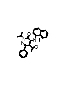 CC(=O)c1c(-c2ccccc2)nn(C(C)C)c(=O)c1Nc1cccc2ccccc12